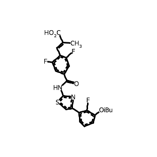 C/C(=C\c1c(F)cc(C(=O)Nc2nc(-c3cccc(OCC(C)C)c3F)cs2)cc1F)C(=O)O